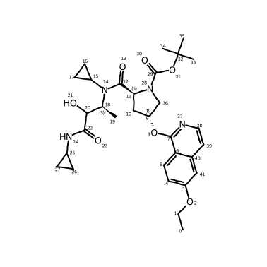 CCOc1ccc2c(O[C@@H]3C[C@@H](C(=O)N(C4CC4)[C@@H](C)C(O)C(=O)NC4CC4)N(C(=O)OC(C)(C)C)C3)nccc2c1